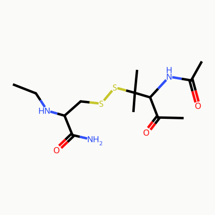 CCNC(CSSC(C)(C)C(NC(C)=O)C(C)=O)C(N)=O